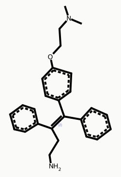 CN(C)CCOc1ccc(/C(=C(/CCN)c2ccccc2)c2ccccc2)cc1